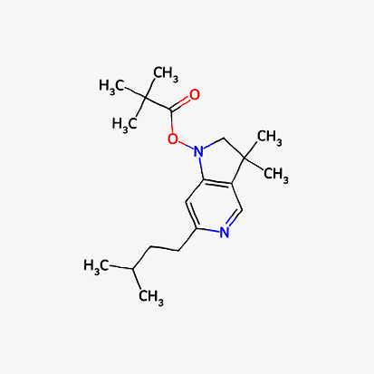 CC(C)CCc1cc2c(cn1)C(C)(C)CN2OC(=O)C(C)(C)C